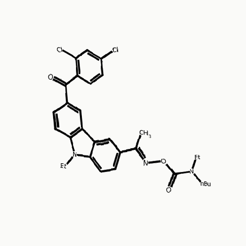 CCCCN(CC)C(=O)O/N=C(\C)c1ccc2c(c1)c1cc(C(=O)c3ccc(Cl)cc3Cl)ccc1n2CC